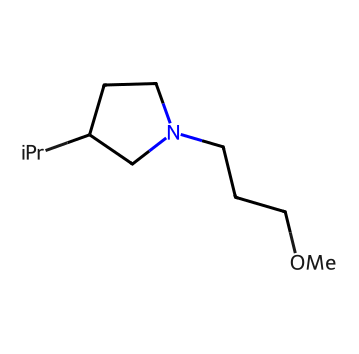 COCCCN1CCC(C(C)C)C1